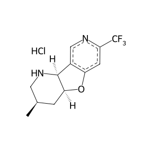 C[C@H]1CN[C@H]2c3cnc(C(F)(F)F)cc3O[C@H]2C1.Cl